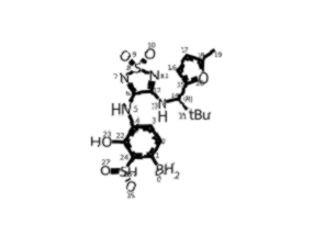 Bc1ccc(NC2=NS(=O)(=O)N=C2N[C@@H](c2ccc(C)o2)C(C)(C)C)c(O)c1[SH](=O)=O